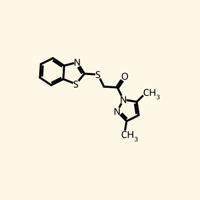 Cc1cc(C)n(C(=O)CSc2nc3ccccc3s2)n1